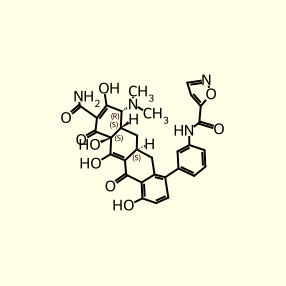 CN(C)[C@H]1C(O)=C(C(N)=O)C(=O)[C@@]2(O)C(O)=C3C(=O)c4c(O)ccc(-c5cccc(NC(=O)c6ccno6)c5)c4C[C@@H]3C[C@@H]12